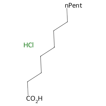 CCCCCCCCCCCC(=O)O.Cl